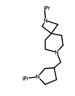 CC(C)N1CCC(CN2CCC3(CC2)CN(C(C)C)C3)C1